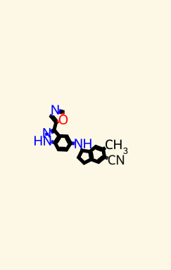 Cc1cc2c(cc1C#N)CC[C@H]2Nc1ccc2[nH]nc(-c3cnco3)c2c1